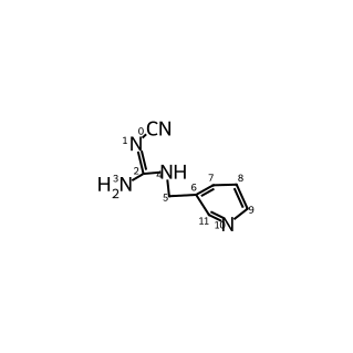 N#C/N=C(/N)NCc1cccnc1